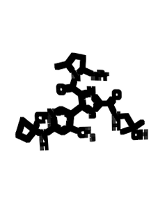 CCCC1CCC(C)N1C(=O)c1nc(C(=O)NCC(C)(C)O)sc1-c1cnc(NC2(C(F)(F)F)CCC2)cc1C(F)(F)F